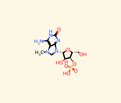 CN1CN([C@@H]2O[C@H](CO)[C@@H](OP(=O)(O)O)[C@H]2O)c2nc(=O)[nH]c(N)c21